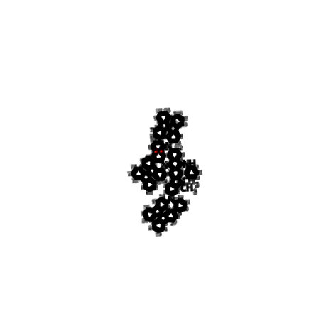 CC1(C)c2cc(N(c3ccccc3)c3ccc4c(c3)C3(c5ccccc5-c5ccccc53)c3ccccc3-4)ccc2-c2cc3c(N(c4ccccc4)c4cccc5c4-c4ccccc4C54c5ccccc5-c5ccccc54)c4cc(N(c5ccccc5)c5ccc6c(c5)C5(c7ccccc7-c7ccccc75)c5ccccc5-6)ccc4c(Nc4ccccc4)c3cc21